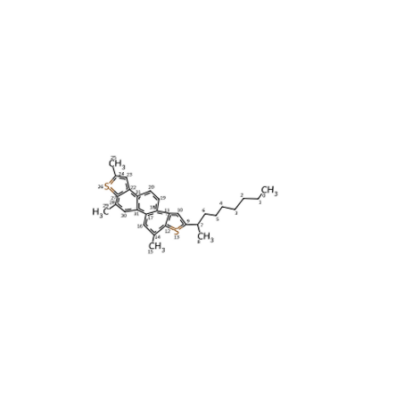 CCCCCCCC(C)c1cc2c(s1)c(C)cc1c2ccc2c3cc(C)sc3c(C)cc21